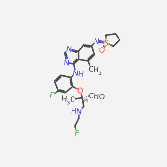 Cc1cc(N=S2(=O)CCCC2)cc2ncnc(Nc3ccc(F)cc3O[C@@](C)(C=O)CNCCF)c12